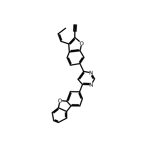 C#Cc1oc2cc(-c3cc(-c4ccc5c(c4)oc4ccccc45)ncn3)ccc2c1/C=C\C